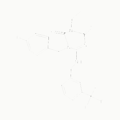 CCn1c(=O)nc(NCc2cccc(C(F)(F)F)c2)n(Cc2ccc(F)cc2)c1=O